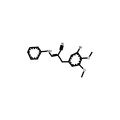 COc1cc(CC(C#N)=CNc2ccccc2)cc(Br)c1OC